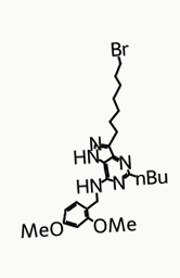 CCCCc1nc(NCc2ccc(OC)cc2OC)c2[nH]nc(CCCCCCCBr)c2n1